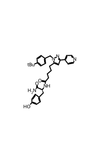 CC(C)(C)c1ccc(Cn2nc(-c3ccncc3)cc2CCCCC(=O)N[C@@H](Cc2ccc(O)cc2)C(N)=O)cc1